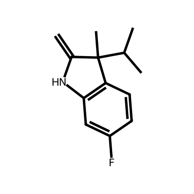 C=C1Nc2cc(F)ccc2C1(C)C(C)C